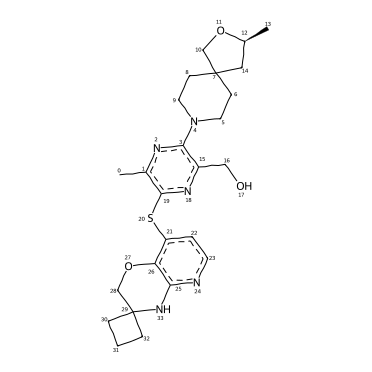 Cc1nc(N2CCC3(CC2)CO[C@@H](C)C3)c(CO)nc1Sc1ccnc2c1OCC1(CCC1)N2